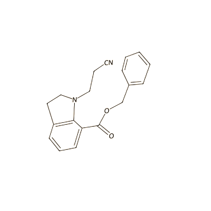 N#CCCN1CCc2cccc(C(=O)OCc3ccccc3)c21